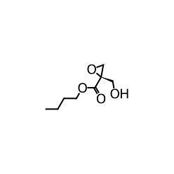 CCCCOC(=O)[C@@]1(CO)CO1